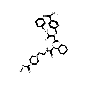 CC(C)(C)OC(=O)N1CCN(CCNC(=O)[C@@H](NC(=O)[C@H](Cc2ccc(C(=N)N)cc2)C(=O)NCc2ccccc2)C2CCCCC2)CC1